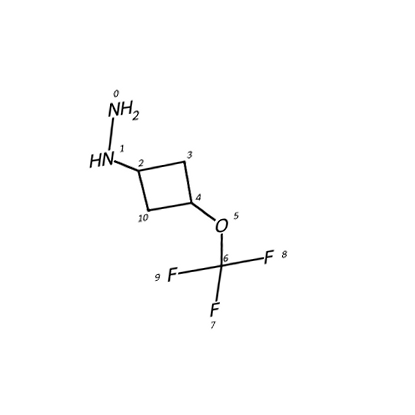 NNC1CC(OC(F)(F)F)C1